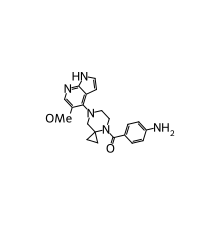 COc1cnc2[nH]ccc2c1N1CCN(C(=O)c2ccc(N)cc2)C2(CC2)C1